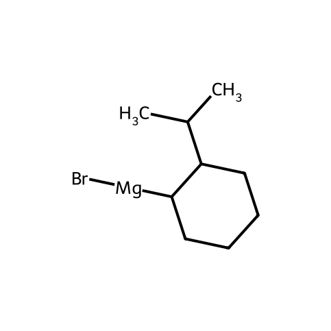 CC(C)C1CCCC[CH]1[Mg][Br]